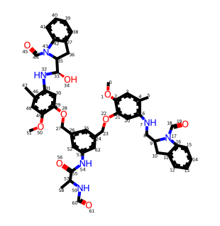 COc1cc(C)c(NCC2Cc3ccccc3N2C=O)cc1OCc1cc(COc2cc(N[C@H](O)C3Cc4ccccc4N3C=O)c(C)cc2OC)cc(NC(=O)C(C)NC=O)c1